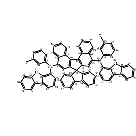 Cc1cccc(N(c2cc3c(c4ccccc24)-c2c(cc(N(c4cccc(C)c4)c4cccc5c4oc4ccccc45)c4ccccc24)C32c3ccccc3-c3ccccc32)c2cccc3c2oc2ccccc23)c1